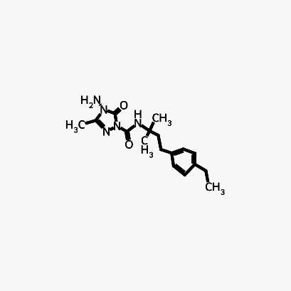 CCc1ccc(CCC(C)(C)NC(=O)n2nc(C)n(N)c2=O)cc1